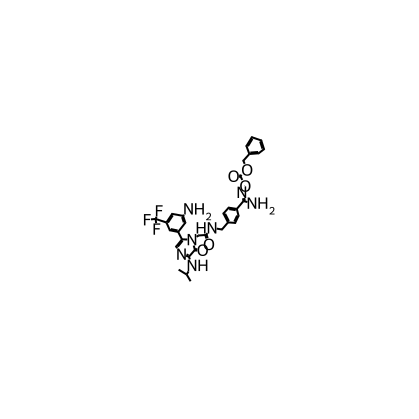 CC(C)Nc1ncc(-c2cc(N)cc(C(F)(F)F)c2)n(CC(=O)NCc2ccc(C(N)=NOC(=O)OCc3ccccc3)cc2)c1=O